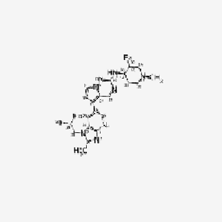 Cc1nc2ncc(-c3ccn4nc(N[C@@H]5CCN(C)C[C@@H]5F)ncc34)cc2n1CC(F)F